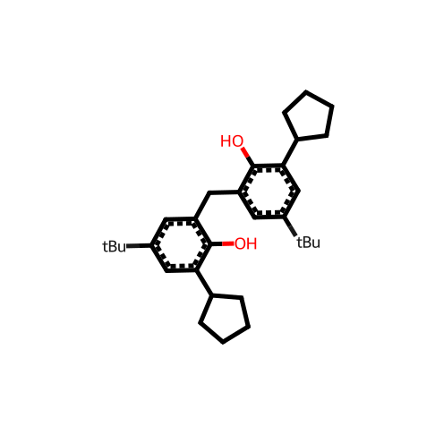 CC(C)(C)c1cc(Cc2cc(C(C)(C)C)cc(C3CCCC3)c2O)c(O)c(C2CCCC2)c1